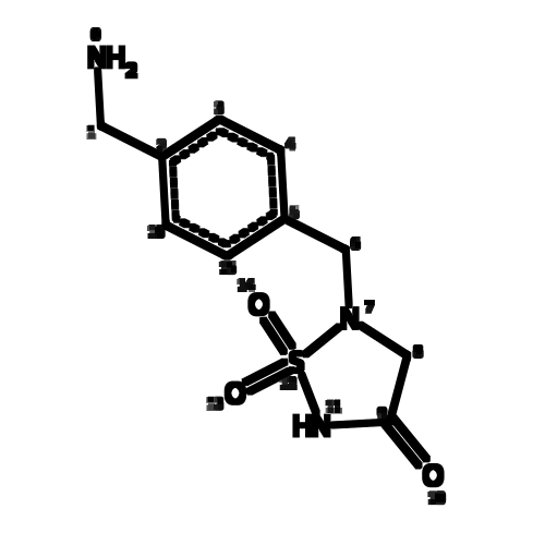 NCc1ccc(CN2CC(=O)NS2(=O)=O)cc1